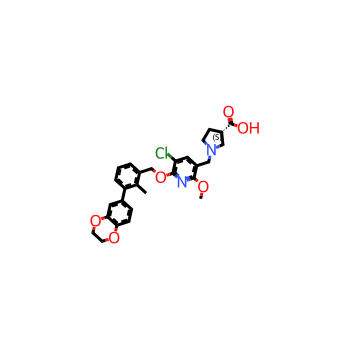 COc1nc(OCc2cccc(-c3ccc4c(c3)OCCO4)c2C)c(Cl)cc1CN1CC[C@H](C(=O)O)C1